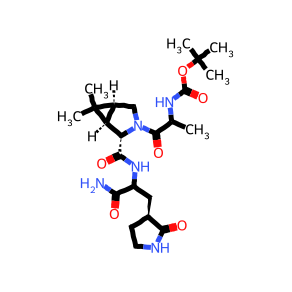 CC(NC(=O)OC(C)(C)C)C(=O)N1C[C@H]2[C@@H]([C@H]1C(=O)NC(C[C@@H]1CCNC1=O)C(N)=O)C2(C)C